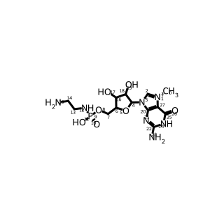 C[n+]1cn(C2OC(COP(=O)(O)NCCN)C(O)C2O)c2nc(N)[nH]c(=O)c21